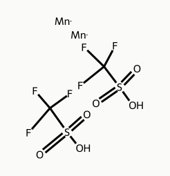 O=S(=O)(O)C(F)(F)F.O=S(=O)(O)C(F)(F)F.[Mn].[Mn]